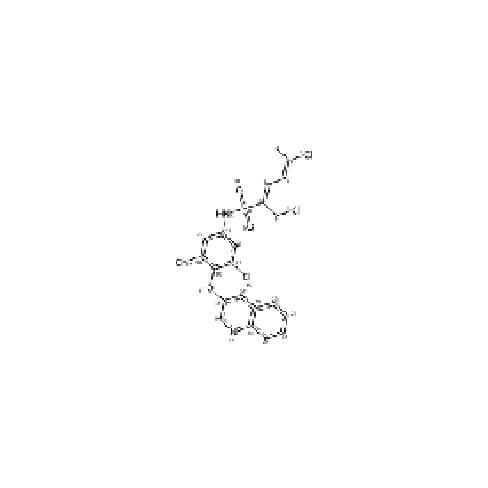 C/C(Cl)=C\C=C(/CCl)S(=O)(=O)Nc1cc(Cl)c(Oc2cnc3ccccc3c2)c(Cl)c1